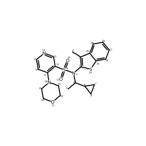 Cc1c(N(C(C)C2CC2)S(=O)(=O)c2cnccc2N2CCOCC2)sc2ccccc12